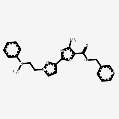 Cc1nc(-c2ccn(CCN(C)c3ccccc3)n2)sc1C(=O)NCc1cccnc1